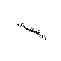 CCCCCCCC1CCC(C2CC=C(c3ccc(-c4ccc(-c5ccc(OCCCC)c(F)c5F)cc4)c(F)c3F)CC2)CC1